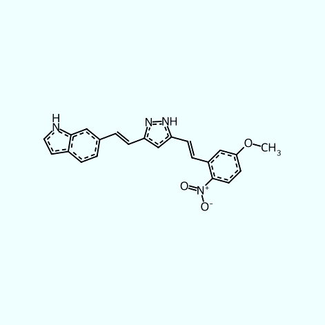 COc1ccc([N+](=O)[O-])c(C=Cc2cc(C=Cc3ccc4cc[nH]c4c3)n[nH]2)c1